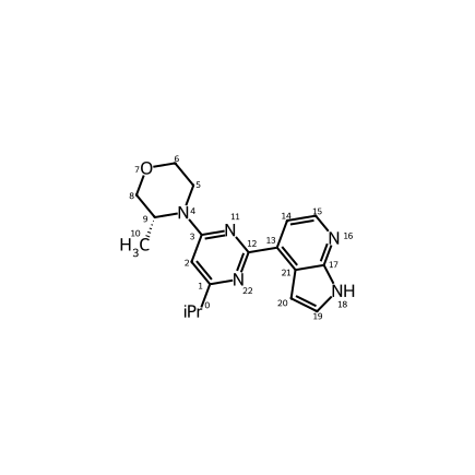 CC(C)c1cc(N2CCOC[C@H]2C)nc(-c2ccnc3[nH]ccc23)n1